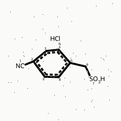 Cl.N#Cc1ccc(CS(=O)(=O)O)cc1